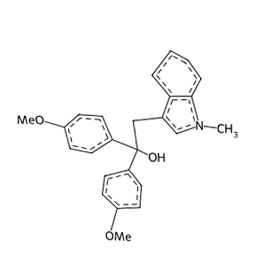 COc1ccc(C(O)(Cc2cn(C)c3ccccc23)c2ccc(OC)cc2)cc1